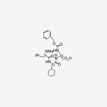 CN[C@@H](CC(C)C)C(=O)N[C@H](C(=O)N[C@@H](CNC(=O)OCc1ccccc1)C(=O)O)C1CCCCC1